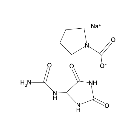 NC(=O)NC1NC(=O)NC1=O.O=C([O-])N1CCCC1.[Na+]